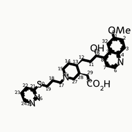 COc1ccc2nccc([C@@H](O)CC[C@@H]3CCN(CCCSc4cccnn4)C[C@@H]3CC(=O)O)c2c1